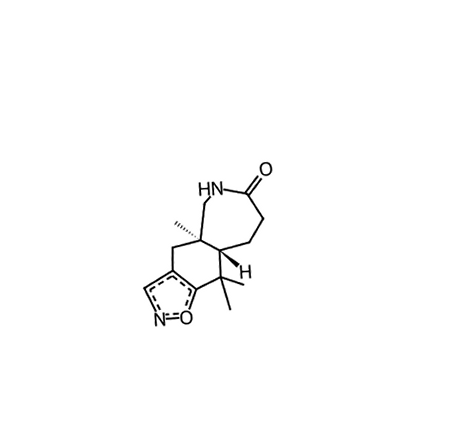 CC1(C)c2oncc2C[C@@]2(C)CNC(=O)CC[C@H]12